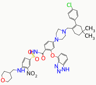 CC1(C)CCC(CN2CCN(c3ccc(C(=O)NS(=O)(=O)c4ccc(NCC5CCOCC5)c([N+](=O)[O-])c4)c(Oc4cccc5[nH]nnc45)c3)CC2)=C(c2ccc(Cl)cc2)C1